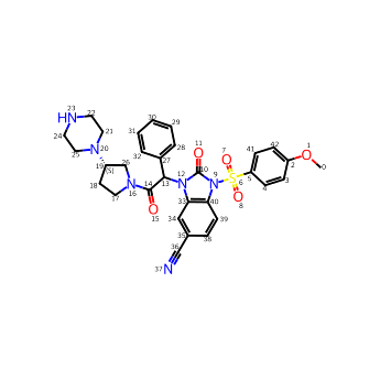 COc1ccc(S(=O)(=O)n2c(=O)n(C(C(=O)N3CC[C@H](N4CCNCC4)C3)c3ccccc3)c3cc(C#N)ccc32)cc1